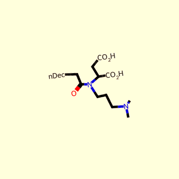 CCCCCCCCCCCC(=O)N(CCCN(C)C)C(CC(=O)O)C(=O)O